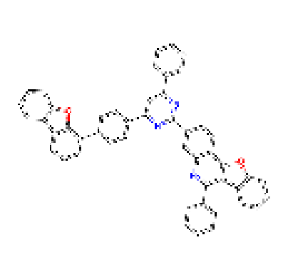 c1ccc(-c2cc(-c3ccc(-c4cccc5c4oc4ccccc45)cc3)nc(-c3ccc4c(c3)nc(-c3ccccc3)c3c5ccccc5oc43)n2)cc1